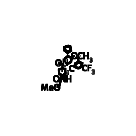 COCC(=O)N[C@H]1CC[C@H](C(=O)N2CC[C@H](O[C@H](C)c3cc(C(F)(F)F)cc(C(F)(F)F)c3)[C@H](c3ccccc3)C2)CC1